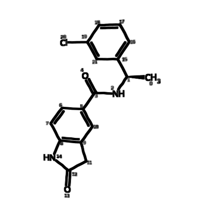 C[C@@H](NC(=O)c1ccc2c(c1)CC(=O)N2)c1cccc(Cl)c1